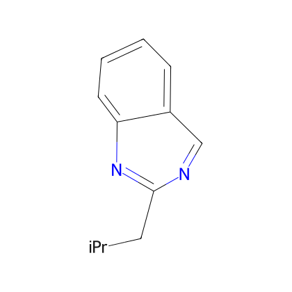 CC(C)Cc1ncc2ccccc2n1